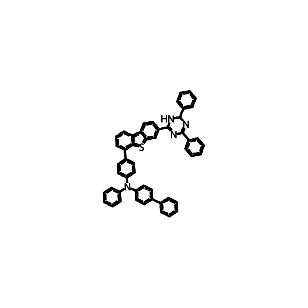 c1ccc(C2=NC(c3ccccc3)NC(c3ccc4c(c3)sc3c(-c5ccc(N(c6ccccc6)c6ccc(-c7ccccc7)cc6)cc5)cccc34)=N2)cc1